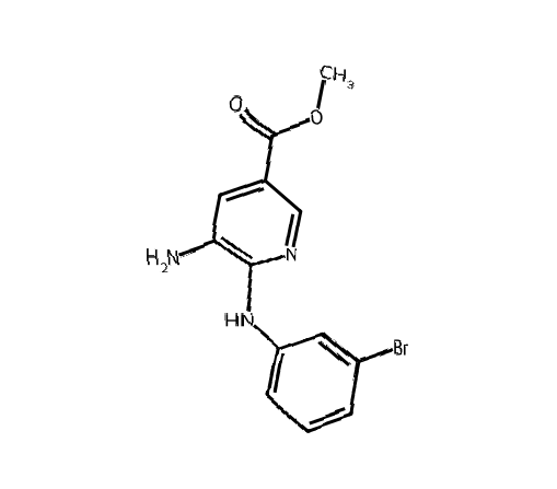 COC(=O)c1cnc(Nc2cccc(Br)c2)c(N)c1